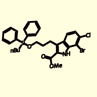 CCCC[Si](OCCCc1c(C(=O)OC)[nH]c2c(Br)c(Cl)ccc12)(c1ccccc1)c1ccccc1